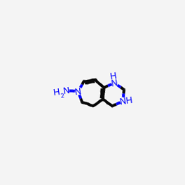 NN1C=CC2=C(CC1)CNCN2